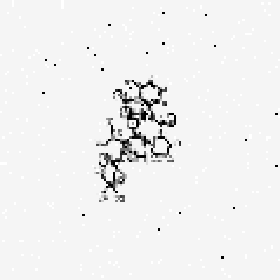 Cc1cccc(NC(=O)C2CCCN2C(=O)C(NC(=O)OC(C)(C)C)C(C)C)c1C(=O)O